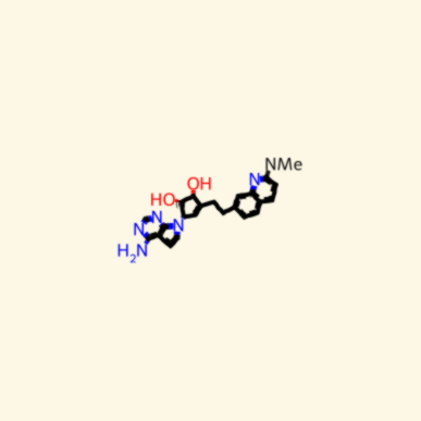 CNc1ccc2ccc(CCC3=CC(n4ccc5c(N)ncnc54)[C@@H](O)C3O)cc2n1